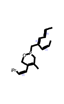 C\C=C/C(=C\C=C\C)CP1CC(C)=C(/C=C\C(C)C)CO1